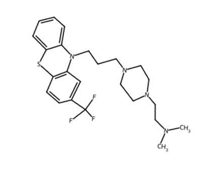 CN(C)CCN1CCN(CCCN2c3ccccc3Sc3ccc(C(F)(F)F)cc32)CC1